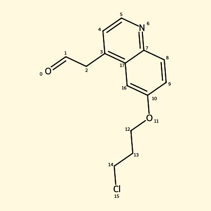 O=CCc1ccnc2ccc(OCCCCl)cc12